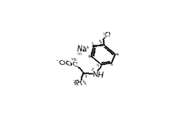 CC(C)C(Nc1ccc(Cl)cc1)C(=O)[O-].[Na+]